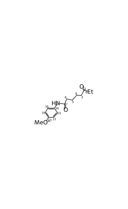 CCC(=O)CCCCC(=O)Nc1ccc(OC)cc1